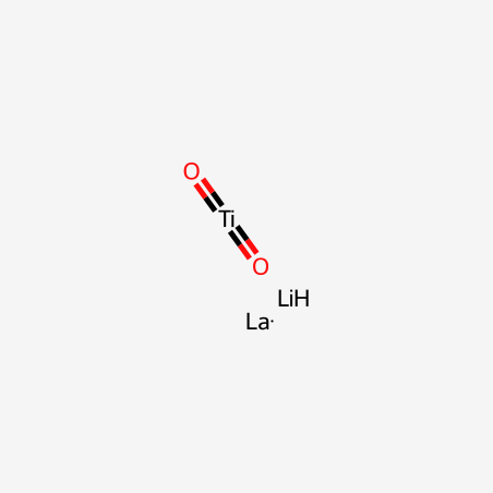 [La].[LiH].[O]=[Ti]=[O]